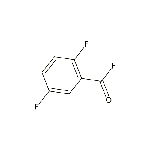 O=C(F)c1cc(F)ccc1F